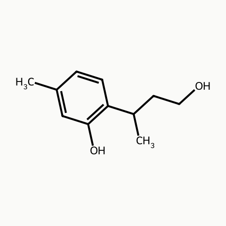 Cc1ccc(C(C)CCO)c(O)c1